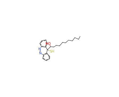 CCCCCCCCCCC(O)C1(S)c2ccccc2N=Nc2ccccc21